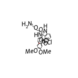 COc1ccc(S(=O)(=O)c2c(Cl)ccc3c2C(NCCOCCN)(c2ccccc2Cl)C(=O)N3)cc1OC